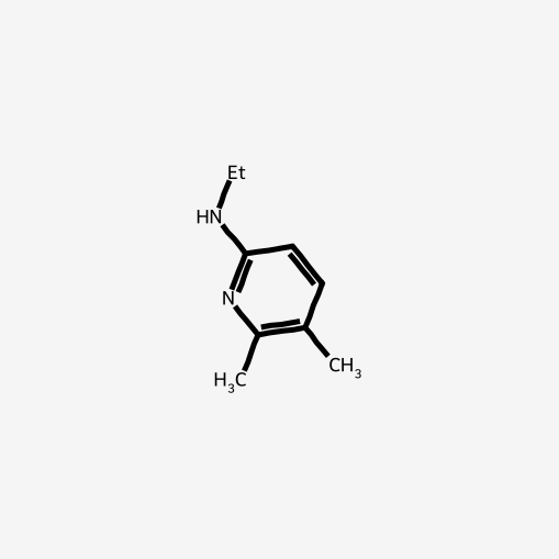 CCNc1ccc(C)c(C)n1